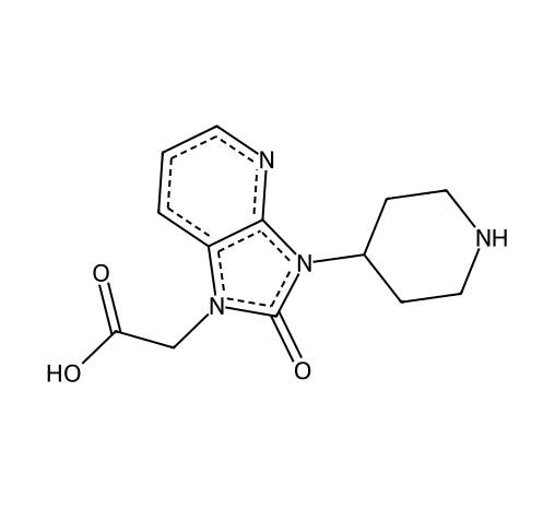 O=C(O)Cn1c(=O)n(C2CCNCC2)c2ncccc21